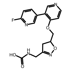 O=C(O)NCC1=NOC(COc2ccncc2-c2ccc(F)nc2)C1